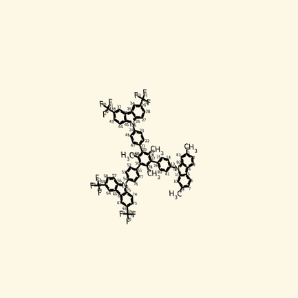 Cc1ccc2c3ccc(C)cc3n(-c3ccc(-c4c(C)c(-c5ccc(-n6c7ccc(C(F)(F)F)cc7c7cc(C(F)(F)F)ccc76)cc5)c(C)c(-c5ccc(-n6c7ccc(C(F)(F)F)cc7c7cc(C(F)(F)F)ccc76)cc5)c4C)cc3)c2c1